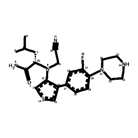 CC(C)C[C@@H](C(N)=O)N(CC#N)c1cscc1-c1ccc(N2CCNCC2)c(F)c1